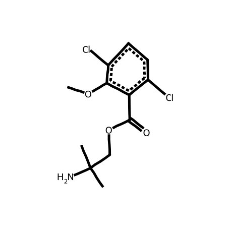 COc1c(Cl)ccc(Cl)c1C(=O)OCC(C)(C)N